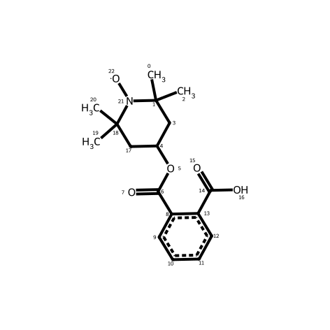 CC1(C)CC(OC(=O)c2ccccc2C(=O)O)CC(C)(C)N1[O]